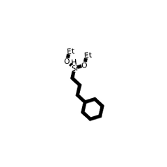 CCO[SiH](CCCC1CCCCC1)OCC